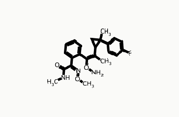 CNC(=O)C(=NOC)c1ccccc1C(ON)=C(C)C1CC1(C)c1ccc(F)cc1